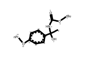 [CH2]C(O)(NC(=O)OC(C)(C)C)c1ccc(OCCC)cc1